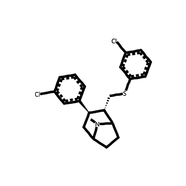 CN1C2CCC1[C@@H](CSc1cccc(Cl)c1)[C@H](c1cccc(Cl)c1)C2